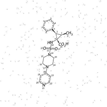 C[C@@H]1[C@H](c2ccccc2)[C@]1(NS(=O)(=O)N1CCN(c2ccncc2)CC1)C(=O)O